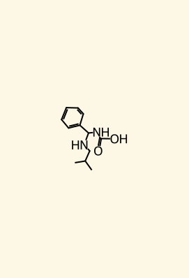 CC(C)CNC(NC(=O)O)c1ccccc1